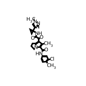 Cc1ccc(NC(=O)c2c(C)c(C(=O)C(=O)NC3(c4cn(C)nn4)CC3)c3n2CCC3)cc1Cl